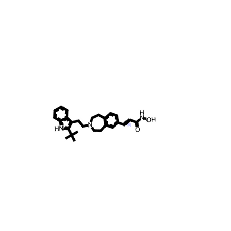 CC(C)(C)c1[nH]c2ccccc2c1CCN1CCc2ccc(/C=C/C(=O)NO)cc2CC1